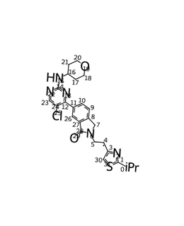 CC(C)c1nc([CH]CN2Cc3ccc(-c4nc(NC5CCOCC5)ncc4Cl)cc3C2=O)cs1